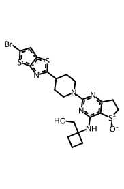 [O-][S@+]1CCc2nc(N3CCC(c4nc5sc(Br)cc5s4)CC3)nc(NC3(CO)CCC3)c21